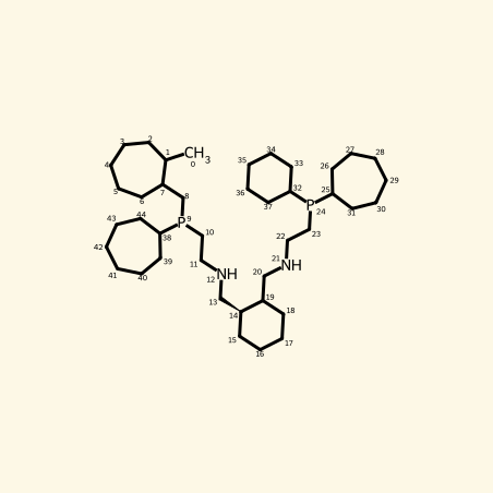 CC1CCCCCC1CP(CCNC[C@@H]1CCCCC1CNCCP(C1CCCCCC1)C1CCCCC1)C1CCCCCC1